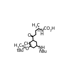 CCCCNC1CC(O[Si](C)(C)C(C)(C)C)CC(C(=O)CC[C@H](C)NC(=O)O)C1